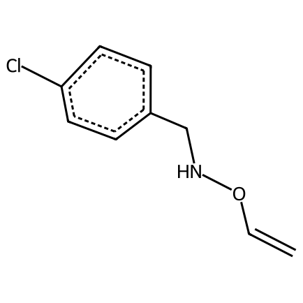 C=CONCc1ccc(Cl)cc1